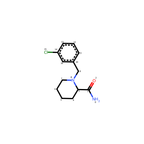 NC(=O)C1C[CH]CCN1Cc1cccc(Cl)c1